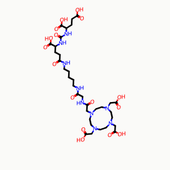 O=C(O)CCC(NC(=O)NC(CCC(=O)NCCCCCNC(=O)CNC(=O)CN1CCN(CC(=O)O)CCN(CC(=O)O)CCN(CC(=O)O)CC1)C(=O)O)C(=O)O